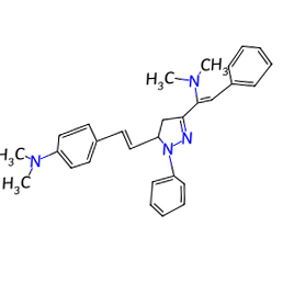 CN(C)C(=Cc1ccccc1)C1=NN(c2ccccc2)C(C=Cc2ccc(N(C)C)cc2)C1